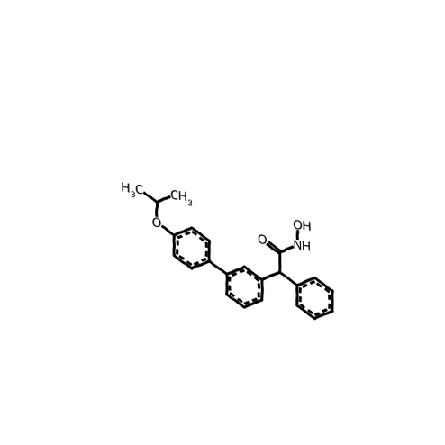 CC(C)Oc1ccc(-c2cccc(C(C(=O)NO)c3ccccc3)c2)cc1